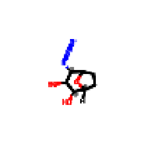 [N-]=[N+]=N[C@@H]1C2CC[C@@H](O2)[C@@H](O)C1O